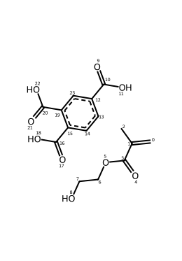 C=C(C)C(=O)OCCO.O=C(O)c1ccc(C(=O)O)c(C(=O)O)c1